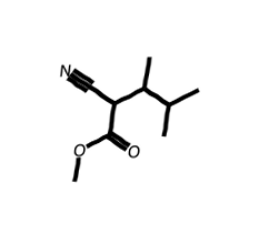 COC(=O)C(C#N)C(C)C(C)C